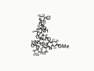 C=C[C@@H]1C[C@]1(NC(=O)[C@@H]1C[C@@H](Oc2cc(-c3ccccc3)nc3cc(OC)ccc23)CN1C(=O)C(NC(=O)OC1CCCC1)C(C)(C)C)P(C)(=O)Oc1cccc(Cl)c1